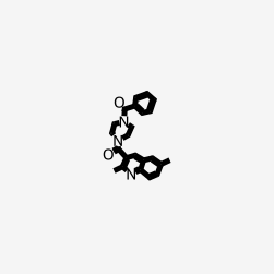 Cc1ccc2nc(C)c(C(=O)N3CCN(C(=O)c4ccccc4)CC3)cc2c1